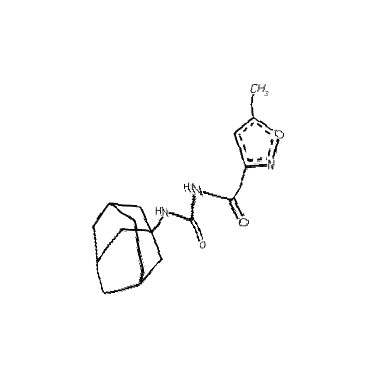 Cc1cc(C(=O)NC(=O)NC23CC4CC(CC(C4)C2)C3)no1